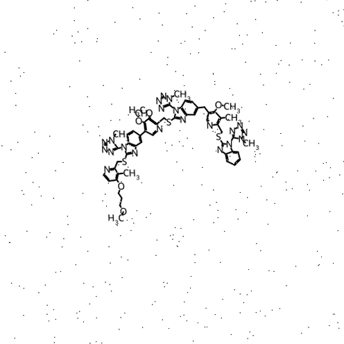 COCCCOc1ccnc(CSc2nc3cc(-c4cnc(CSc5nc6cc(Cc7cnc(CSc8nc9ccccc9n8-c8nnnn8C)c(C)c7OC)ccc6n5-c5nnnn5C)c(OC)c4OC)ccc3n2-c2nnnn2C)c1C